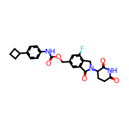 O=C1CCC(N2Cc3c(F)cc(COC(=O)Nc4ccc(C5CCC5)cc4)cc3C2=O)C(=O)N1